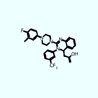 C=C(O)CC1c2ccccc2N=C(N2CCN(c3ccc(F)c(C)c3)CC2)N1c1cccc(C(F)(F)F)c1